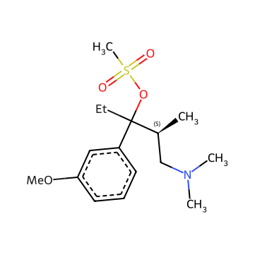 CCC(OS(C)(=O)=O)(c1cccc(OC)c1)[C@@H](C)CN(C)C